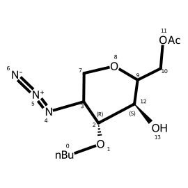 CCCCO[C@@H]1C(N=[N+]=[N-])COC(COC(C)=O)[C@H]1O